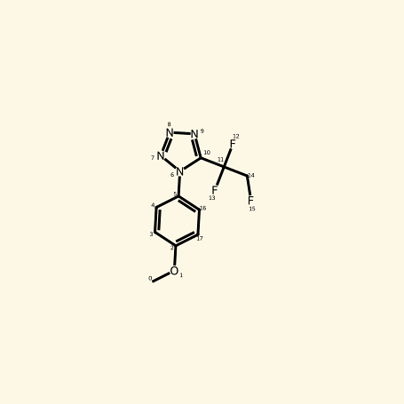 COc1ccc(-n2nnnc2C(F)(F)CF)cc1